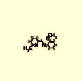 COc1ccccc1N=Cc1cccc(C)n1